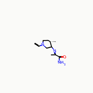 C=CN1CC[C@H](C)C(/N=C(\C)C(N)=O)C1